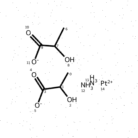 CC(O)C(=O)[O-].CC(O)C(=O)[O-].N.N.[Pt+2]